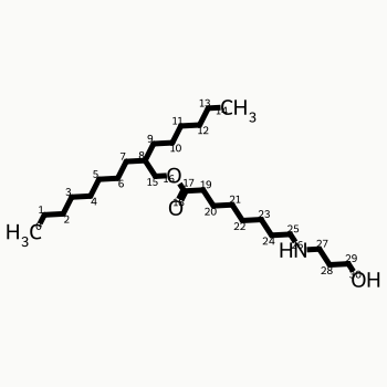 CCCCCCCCC(CCCCCC)COC(=O)CCCCCCCNCCCO